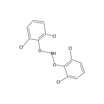 Clc1cccc(Cl)c1OBOc1c(Cl)cccc1Cl